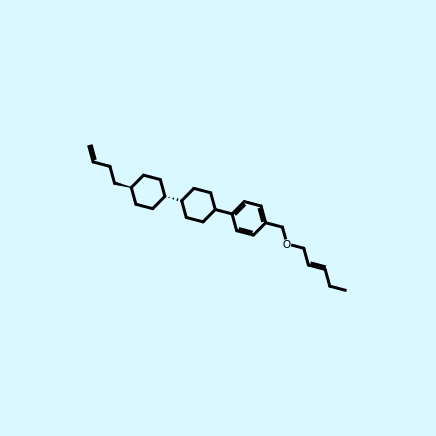 C=CCC[C@H]1CC[C@H](C2CCC(c3ccc(COC/C=C/CC)cc3)CC2)CC1